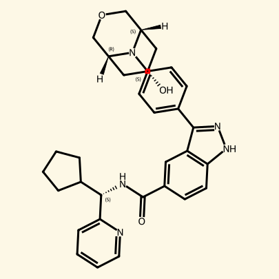 O=C(N[C@H](c1ccccn1)C1CCCC1)c1ccc2[nH]nc(-c3ccc(N4[C@@H]5COC[C@H]4C[C@@H](O)C5)cc3)c2c1